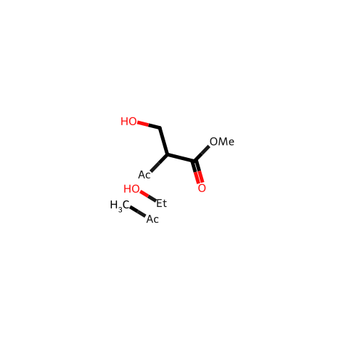 CC(C)=O.CCO.COC(=O)C(CO)C(C)=O